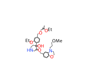 CCOc1cc(COC[C@@H](C)OCC)ccc1[C@@]1(O)CCNC[C@@H]1OCc1ccc2c(c1)N(CCCOC)CCO2